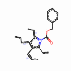 C=C/C=c1/c(/C=C\C)c(C=C)n(C(=O)OCc2ccccc2)/c1=C/C